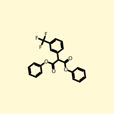 O=C(Oc1ccccc1)C(C(=O)Oc1ccccc1)c1cccc(C(F)(F)F)c1